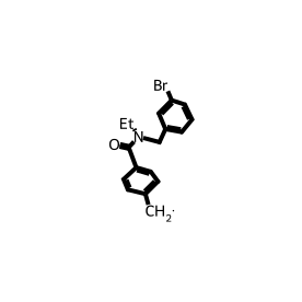 [CH2]c1ccc(C(=O)N(CC)Cc2cccc(Br)c2)cc1